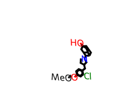 COCOc1ccc(CC2CCN(C3C4CC5CC3CC(O)(C5)C4)C2)c(Cl)c1